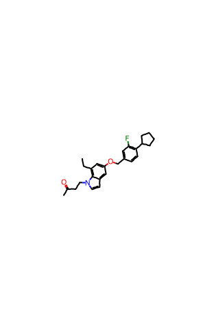 CCc1cc(OCc2ccc(C3CCCC3)c(F)c2)cc2ccn(CCC(C)=O)c12